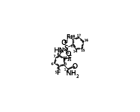 NC(=O)c1c(F)ccc(NS(=O)(=O)c2ccccc2F)c1F